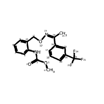 COC(=O)Nc1ccccc1CON=C(C)c1cccc(C(F)(F)F)c1